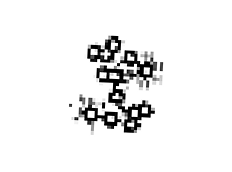 [2H]c1c([2H])c([2H])c(-c2cccc(N(c3ccc4c(c3)oc3cc(N(c5cccc(-c6c([2H])c([2H])c([2H])c([2H])c6[2H])c5)c5cc6ccccc6c6ccccc56)c5ccccc5c34)c3cc4ccccc4c4ccccc34)c2)c([2H])c1[2H]